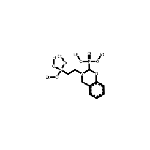 CCO[Si](CCN1Cc2ccccc2OC1P(=O)(OCC)OCC)(OCC)OCC